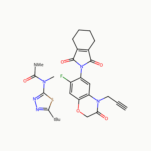 C#CCN1C(=O)COc2cc(F)c(N3C(=O)C4=C(CCCC4)C3=O)cc21.CNC(=O)N(C)c1nnc(C(C)(C)C)s1